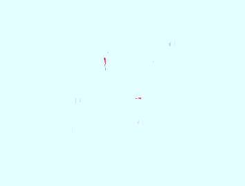 CC(C(C)(C)[SiH3])[C@]1(O)[C@H](O)O[C@@H]2C(O)C(C)(C)[C@]2(O)[C@@H]1O